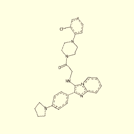 O=C(CNc1c(-c2ccc(N3CCCC3)cc2)nc2ccccn12)N1CCN(c2ccncc2Cl)CC1